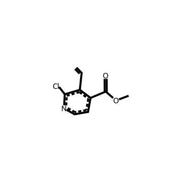 C=Cc1c(C(=O)OC)ccnc1Cl